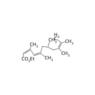 CCOC(=O)C=C(C)C=C(C)CC(C)CC(C)=C(C)C